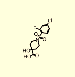 O=C(O)C1(O)CCN(S(=O)(=O)c2ccc(Cl)cc2F)CC1